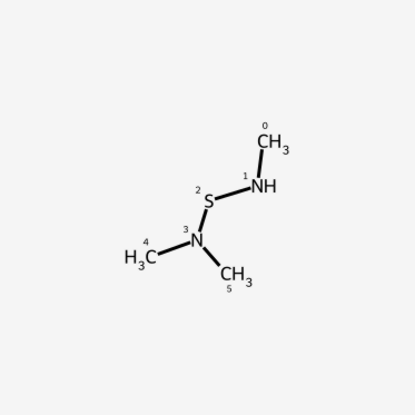 CNSN(C)C